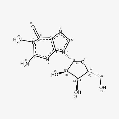 Nc1nc2c(ncn2[C@@H]2O[C@H](CO)[C@@H](O)[C@H]2O)c(=O)n1N